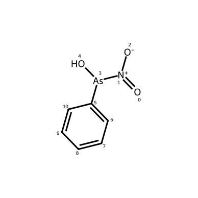 O=[N+]([O-])[As](O)c1ccccc1